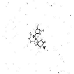 Cc1cc(N2C(C)CCCC2(C)c2ccc(F)cc2)c[nH]1